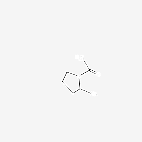 NC(=O)N1CCCC1O